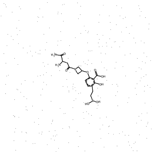 NC(=O)C(N)CC(=O)N1CC(Oc2ccc(CCB(O)O)c(O)c2C(=O)O)C1